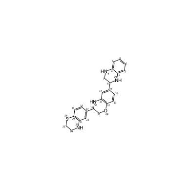 c1ccc2c(c1)NCC(c1ccc3c(c1)NC(c1ccc4c(c1)NCCS4)CO3)N2